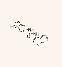 O=C(Nc1ccc2[nH]ccc2c1)Nc1ccnc2ccccc12